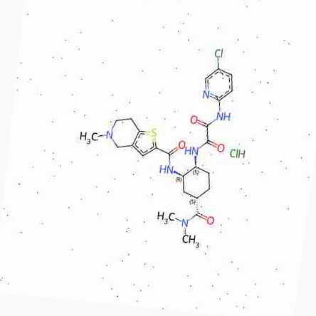 CN1CCc2sc(C(=O)N[C@@H]3C[C@@H](C(=O)N(C)C)CC[C@@H]3NC(=O)C(=O)Nc3ccc(Cl)cn3)cc2C1.Cl